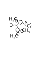 COc1ccc(C(=CC=O)c2cc(-c3cc4ccccc4s3)ccc2OC)cc1OC